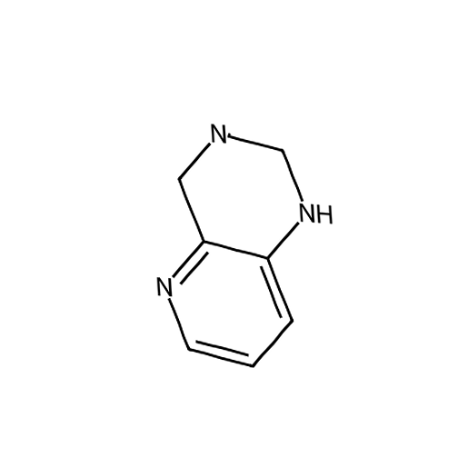 c1cnc2c(c1)NC[N]C2